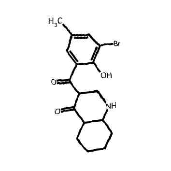 Cc1cc(Br)c(O)c(C(=O)C2CNC3CCCCC3C2=O)c1